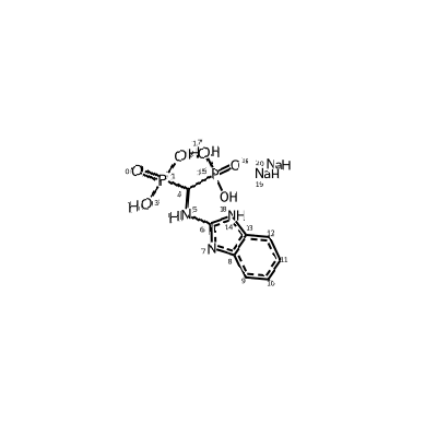 O=P(O)(O)C(Nc1nc2ccccc2[nH]1)P(=O)(O)O.[NaH].[NaH]